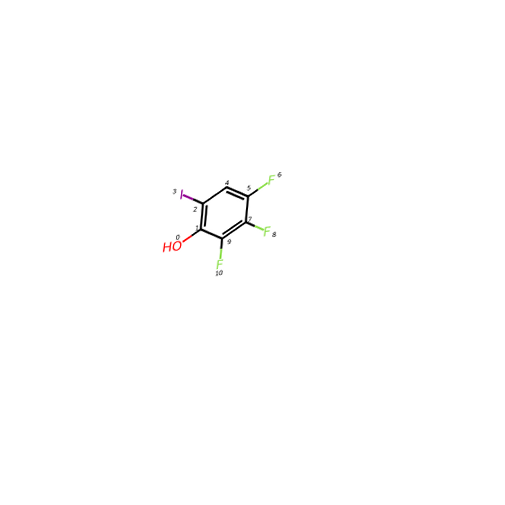 Oc1c(I)cc(F)c(F)c1F